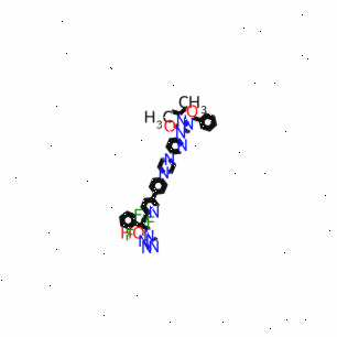 CCC(C(C)OCc1ccccc1)n1ncn(-c2ccc(N3CCN(c4ccc(-c5ccc(C(F)(F)C(O)(Cn6cnnn6)c6ccccc6F)nc5)cc4)CC3)cn2)c1=O